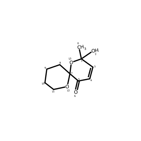 CC1(O)C=CC(=O)C2(CCCCO2)O1